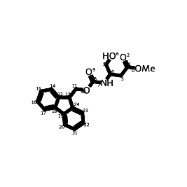 COC(=O)CC(CO)NC(=O)OCC1c2ccccc2-c2ccccc21